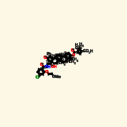 COCCOc1cc(Cl)ccc1C(=O)NC[C@H](O)[C@@]12CC[C@]3(C)[C@H](CC[C@@H]4[C@@]5(C)CC[C@H](OC(=O)[C@H]6C[C@@H](C(=O)O)C6(C)C)C(C)(C)[C@@H]5CC[C@]43C)C1=C(C(C)C)C(=O)C2